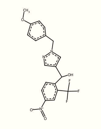 COc1ccc(Cn2cc(C(O)c3ccc([N+](=O)[O-])cc3C(F)(F)F)cn2)cc1